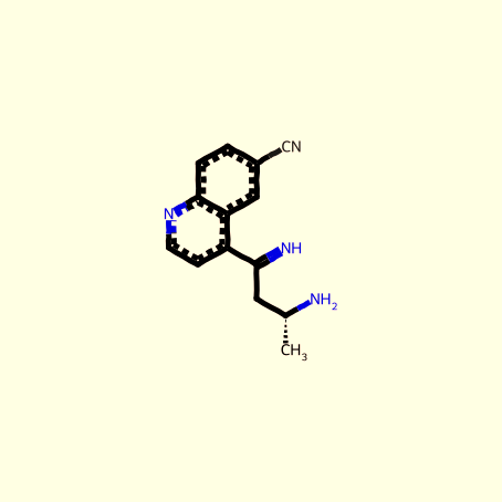 C[C@@H](N)CC(=N)c1ccnc2ccc(C#N)cc12